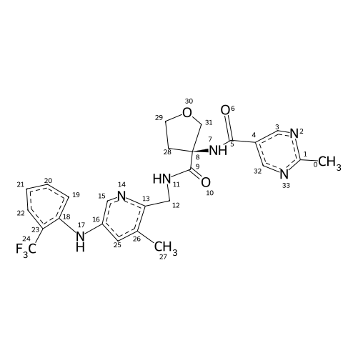 Cc1ncc(C(=O)N[C@@]2(C(=O)NCc3ncc(Nc4ccccc4C(F)(F)F)cc3C)CCOC2)cn1